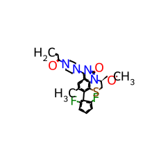 C=CC(=O)N1CCN(c2nc(=O)n3c4c(c(-c5c(F)cccc5F)c(C)cc24)SC[C@@H]3COC)CC1